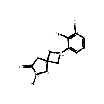 CN1CC2(CC1=O)CN(c1cccc(Br)c1F)C2